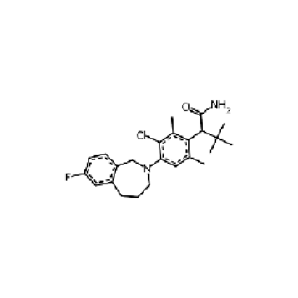 Cc1cc(N2CCCc3cc(F)ccc3C2)c(Cl)c(C)c1C(C(N)=O)C(C)(C)C